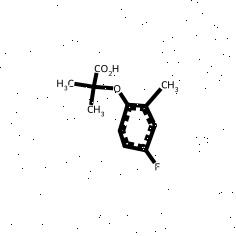 Cc1cc(F)ccc1OC(C)(C)C(=O)O